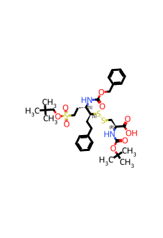 CC(C)(C)COS(=O)(=O)CC[C@H](NC(=O)OCc1ccccc1)[C@H](CCc1ccccc1)SSC[C@H](NC(=O)OC(C)(C)C)C(=O)O